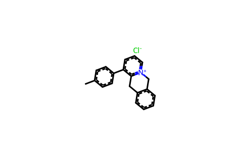 Cc1ccc(-c2ccc[n+]3c2Cc2ccccc2C3)cc1.[Cl-]